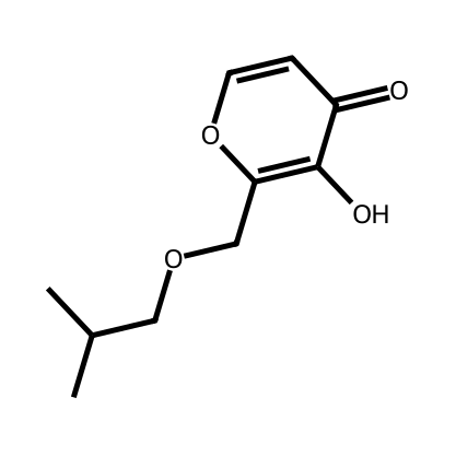 CC(C)COCc1occc(=O)c1O